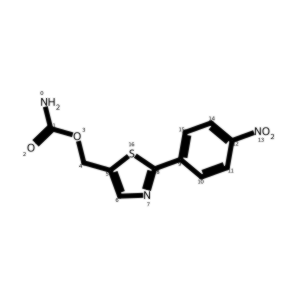 NC(=O)OCc1cnc(-c2ccc([N+](=O)[O-])cc2)s1